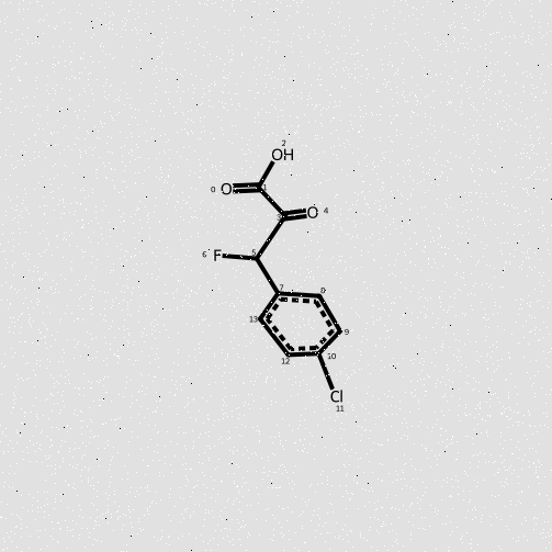 O=C(O)C(=O)C(F)c1ccc(Cl)cc1